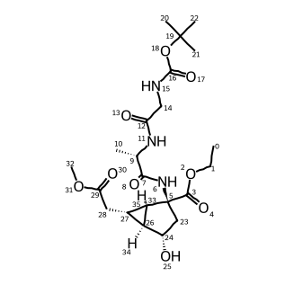 CCOC(=O)[C@]1(NC(=O)[C@H](C)NC(=O)CNC(=O)OC(C)(C)C)C[C@H](O)[C@H]2[C@H](CC(=O)OC)[C@H]21